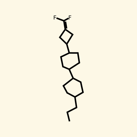 CCCC1CCC(C2CCC(C3CC(=C(F)F)C3)CC2)CC1